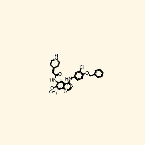 COc1cc2ncnc(Nc3ccc(OCc4ccccc4)c(Cl)c3)c2cc1NC(=O)C=C1CCNCC1